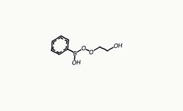 OCCOOB(O)c1ccccc1